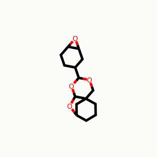 C1CC2CC3(C1)COC(C1CCC4OC4C1)OC3O2